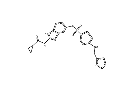 O=C(Nc1nc2cc(OS(=O)(=O)c3ccc(NCc4ccco4)cc3)ccc2[nH]1)C1CC1